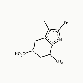 CC1CN(C(=O)O)Cc2c(I)c(Br)nn21